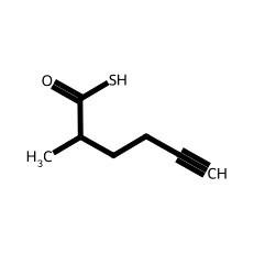 C#CCCC(C)C(=O)S